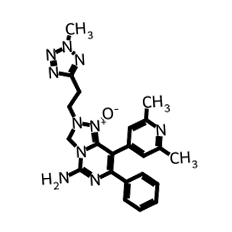 Cc1cc(C2=C(c3ccccc3)N=C(N)N3CN(CCc4nnn(C)n4)[N+]([O-])=C23)cc(C)n1